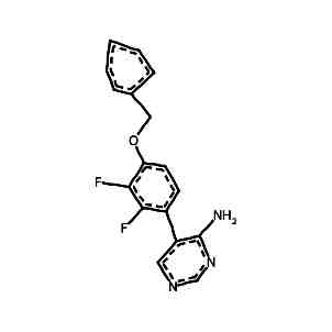 Nc1ncncc1-c1ccc(OCc2ccccc2)c(F)c1F